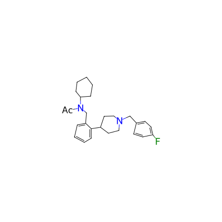 CC(=O)N(Cc1ccccc1C1CCN(Cc2ccc(F)cc2)CC1)C1CCCCC1